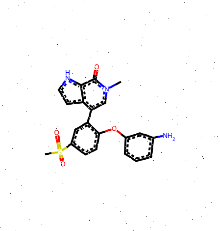 Cn1cc(-c2cc(S(C)(=O)=O)ccc2Oc2cccc(N)c2)c2cc[nH]c2c1=O